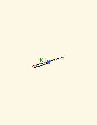 CCCCCCCCCCCCCCCC(C)N(C(C)CCCCCCCCCCCCCCC)C(C)CCCCCCCCCCCCCCC.Cl